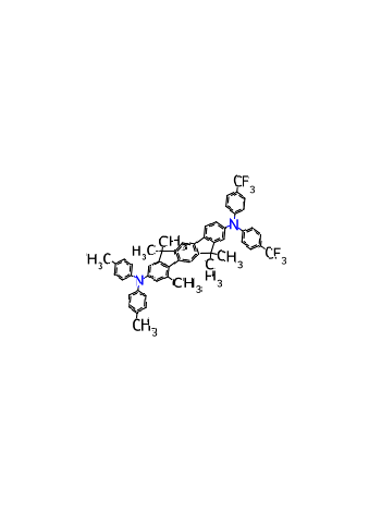 Cc1ccc(N(c2ccc(C)cc2)c2cc(C)c3c(c2)C(C)(C)c2cc4c(cc2-3)C(C)(C)c2cc(N(c3ccc(C(F)(F)F)cc3)c3ccc(C(F)(F)F)cc3)ccc2-4)cc1